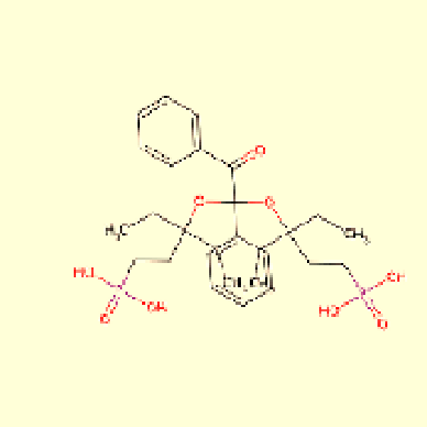 CCC(CC)(CCP(=O)(O)O)OC(OC(CC)(CC)CCP(=O)(O)O)(C(=O)c1ccccc1)c1ccccc1